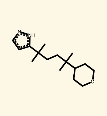 CC(C)(CCC(C)(C)C1CCOCC1)c1ccn[nH]1